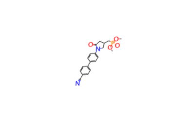 COP(=O)(CC1CC(=O)N(c2ccc(-c3ccc(C#N)cc3)cc2)C1)OC